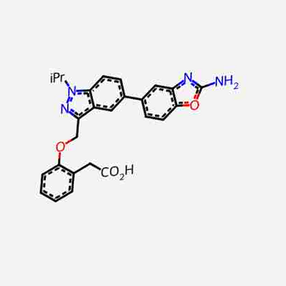 CC(C)n1nc(COc2ccccc2CC(=O)O)c2cc(-c3ccc4oc(N)nc4c3)ccc21